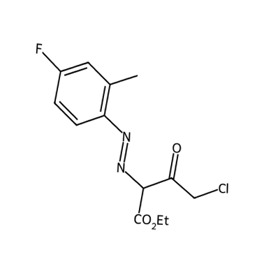 CCOC(=O)C(N=Nc1ccc(F)cc1C)C(=O)CCl